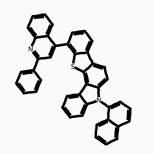 c1ccc(-c2cc(-c3cccc4c3sc3c4ccc4c3c3ccccc3n4-c3cccc4ccccc34)c3ccccc3n2)cc1